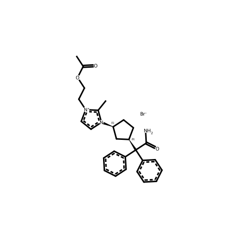 CC(=O)OCC[n+]1ccn([C@H]2CC[C@@H](C(C(N)=O)(c3ccccc3)c3ccccc3)C2)c1C.[Br-]